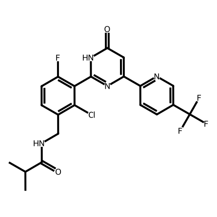 CC(C)C(=O)NCc1ccc(F)c(-c2nc(-c3ccc(C(F)(F)F)cn3)cc(=O)[nH]2)c1Cl